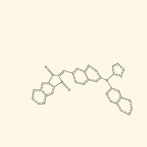 O=C1C(=Cc2ccc3cc(N(c4ccc5ccccc5c4)c4cccs4)ccc3c2)C(=O)c2cc3ccccc3cc21